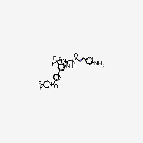 Nc1ccc(/C=C/C(=O)NCc2nc3cc(-c4ccc(C(=O)N5CCC(F)(F)CC5)cn4)cc(C(F)(F)F)c3[nH]2)cn1